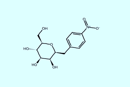 O=[N+]([O-])c1ccc(C[C@@H]2O[C@H](CO)[C@@H](O)[C@H](O)[C@@H]2O)cc1